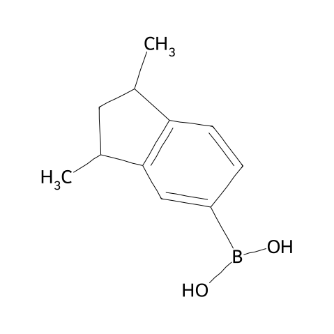 CC1CC(C)c2cc(B(O)O)ccc21